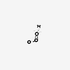 CCC1C[C@@H](S(=O)(=O)c2cc(C(=O)Nc3cc(F)c(F)c(F)c3)ccc2Cl)C[C@H](C)[C@H]1NC(=O)N1CC(O)C(O)C1